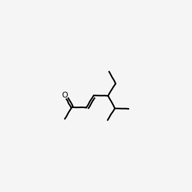 CCC(C=CC(C)=O)C(C)C